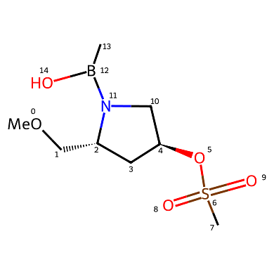 COC[C@H]1C[C@H](OS(C)(=O)=O)CN1B(C)O